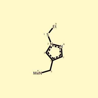 CCSn1cc(CNC)cn1